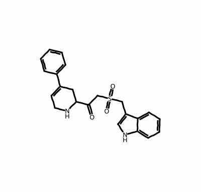 O=C(CS(=O)(=O)Cc1c[nH]c2ccccc12)C1CC(c2ccccc2)=CCN1